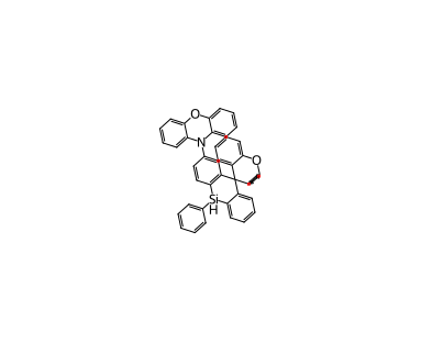 c1ccc([SiH]2c3ccccc3C3(c4ccccc4Oc4ccccc43)c3cc(N4c5ccccc5Oc5ccccc54)ccc32)cc1